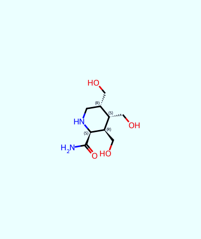 NC(=O)[C@H]1NC[C@H](CO)[C@H](CO)[C@H]1CO